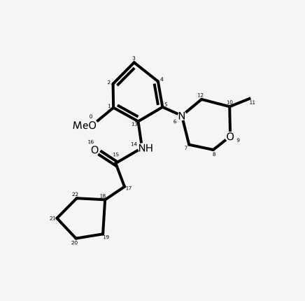 COc1cccc(N2CCOC(C)C2)c1NC(=O)CC1CCCC1